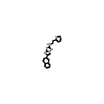 c1ccc(CCNc2nn3cc(-c4ccc5ccccc5c4)nc3s2)nc1